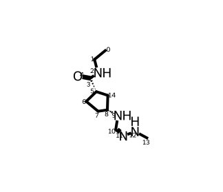 CCNC(=O)[C@H]1CC[C@@H](N/C=N\NC)C1